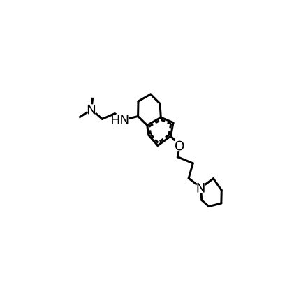 CN(C)CCNC1CCCc2cc(OCCCN3CCCCC3)ccc21